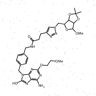 COCCOc1nc(N)c2nc(O)n(Cc3ccc(CNC(=O)CCc4cn(CC5OC(OC)C6OC(C)(C)OC56)nn4)cc3)c2n1